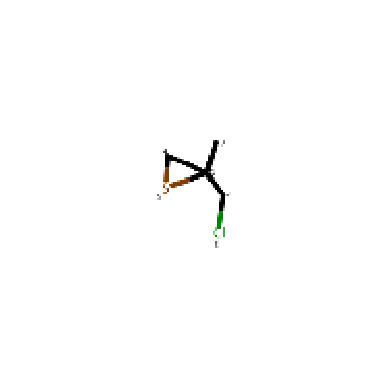 CC1(CCl)CS1